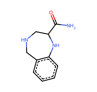 NC(=O)C1CNCc2ccccc2N1